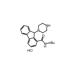 CCCCNC(=O)c1cccc2c1C(N1CCNCC1)c1ccccc1-2.Cl